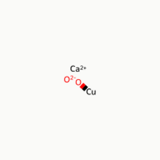 [Ca+2].[O-2].[O]=[Cu]